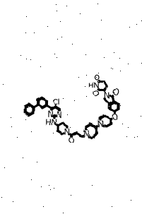 O=C1CCC(N2Cc3cc(OC4CCN(C5CCN(CCC(=O)N6CCC(Nc7ncc(Cl)c(-c8cccc(-c9ccccc9)c8)n7)CC6)CC5)CC4)ccc3C2=O)C(=O)N1